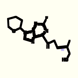 C/C(=C\CNc1nc(F)nc2c1ncn2C1CCCCO1)CO